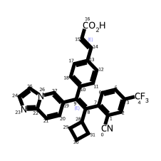 N#Cc1cc(C(F)(F)F)ccc1/C(=C(\c1ccc(/C=C/C(=O)O)cc1)c1ccc2nccn2c1)C1CCC1